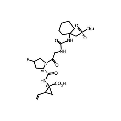 C=CC1C[C@]1(NC(=O)[C@@H]1CC(F)CN1C(=O)CNC(=O)NC1(CS(=O)(=O)C(C)(C)C)CCCCC1)C(=O)O